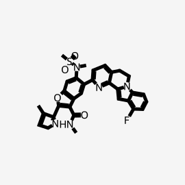 CNC(=O)c1c(C2=NCC=C2C)oc2cc(N(C)S(C)(=O)=O)c(-c3ccc4c(n3)-c3cc5c(F)cccc5n3CC4)cc12